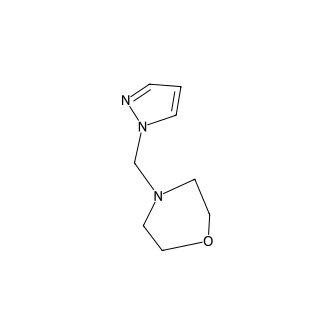 c1cnn(CN2CCOCC2)c1